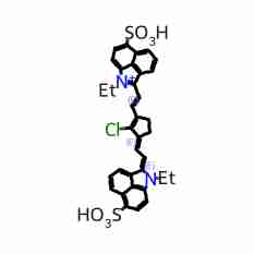 CCn1/c(=C/C=C2\CCC(/C=C/C3=[N+](CC)c4ccc(S(=O)(=O)O)c5cccc3c45)=C2Cl)c2cccc3c(S(=O)(=O)O)ccc1c32